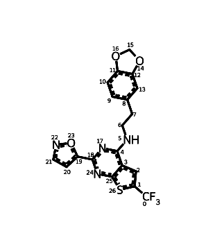 FC(F)(F)c1cc2c(NCCc3ccc4c(c3)OCO4)nc(-c3ccno3)nc2s1